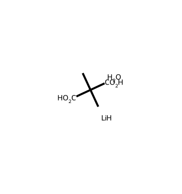 CC(C)(C(=O)O)C(=O)O.O.[LiH]